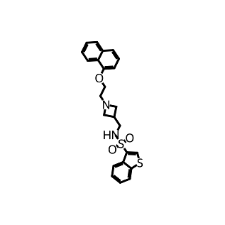 O=S(=O)(NCC1CN(CCOc2cccc3ccccc23)C1)c1csc2ccccc12